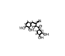 N#CC(=Cc1ccc(O)c(O)c1)C(=O)C(=O)c1ccc(O)c(O)c1